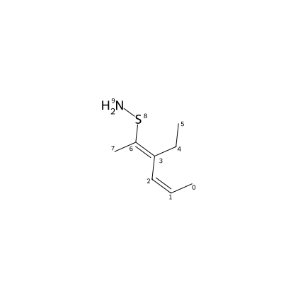 C/C=C\C(CC)=C(/C)SN